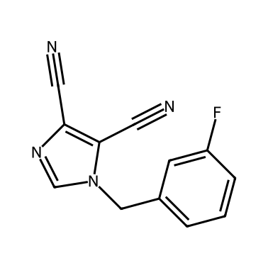 N#Cc1ncn(Cc2cccc(F)c2)c1C#N